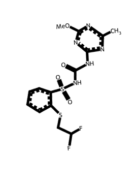 COc1nc(C)nc(NC(=O)NS(=O)(=O)c2ccccc2SCC(F)F)n1